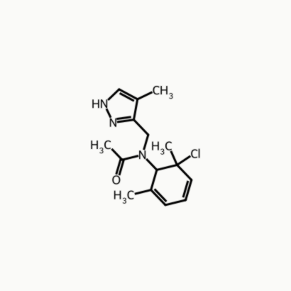 CC(=O)N(Cc1n[nH]cc1C)C1C(C)=CC=CC1(C)Cl